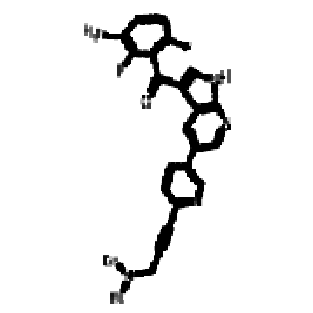 CCN(CC)CC#Cc1ccc(-c2cnc3[nH]cc(C(=O)c4c(F)ccc(N)c4F)c3c2)cn1